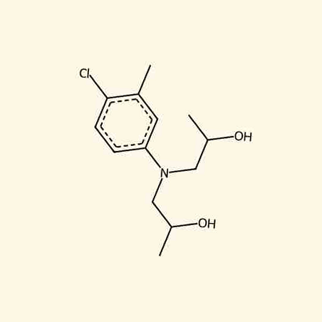 Cc1cc(N(CC(C)O)CC(C)O)ccc1Cl